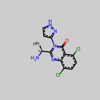 CCC[C@H](N)c1nc2c(Cl)ccc(Cl)c2c(=O)n1-c1cc[nH]n1